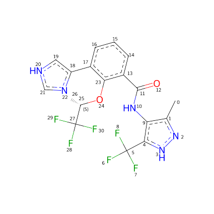 Cc1n[nH]c(C(F)(F)F)c1NC(=O)c1cccc(-c2c[nH]cn2)c1O[C@@H](C)C(F)(F)F